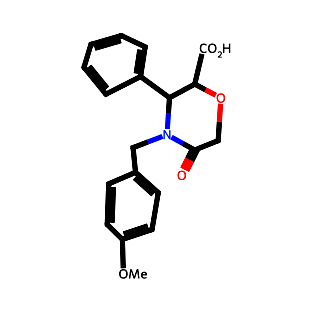 COc1ccc(CN2C(=O)COC(C(=O)O)C2c2ccccc2)cc1